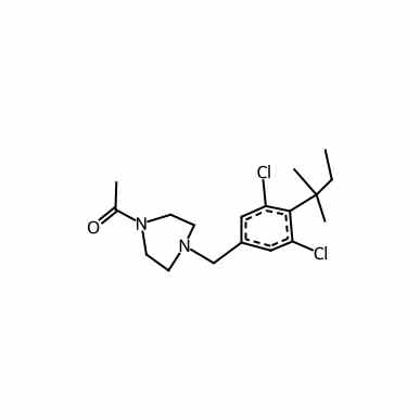 CCC(C)(C)c1c(Cl)cc(CN2CCN(C(C)=O)CC2)cc1Cl